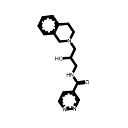 O=C(NCC(O)CN1CCc2ccccc2C1)c1ccnnc1